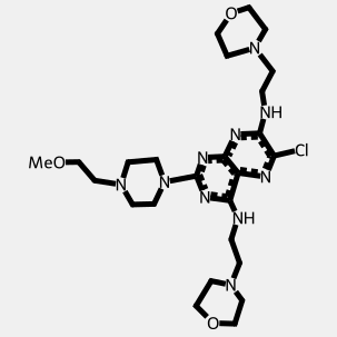 COCCN1CCN(c2nc(NCCN3CCOCC3)c3nc(Cl)c(NCCN4CCOCC4)nc3n2)CC1